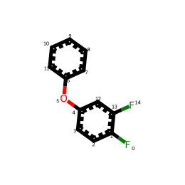 Fc1ccc(Oc2c[c]ccc2)cc1F